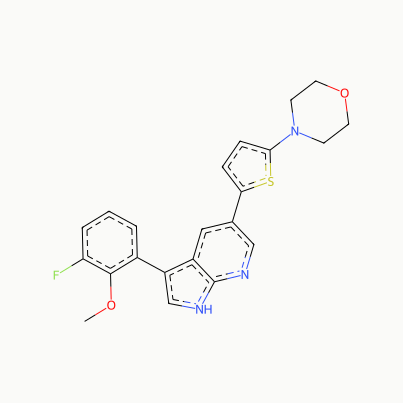 COc1c(F)cccc1-c1c[nH]c2ncc(-c3ccc(N4CCOCC4)s3)cc12